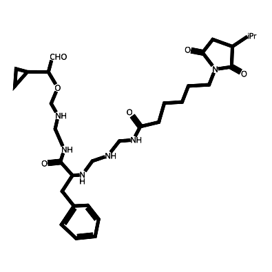 CC(C)C1CC(=O)N(CCCCCC(=O)NCNCNC(Cc2ccccc2)C(=O)NCNCOC(C=O)C2CC2)C1=O